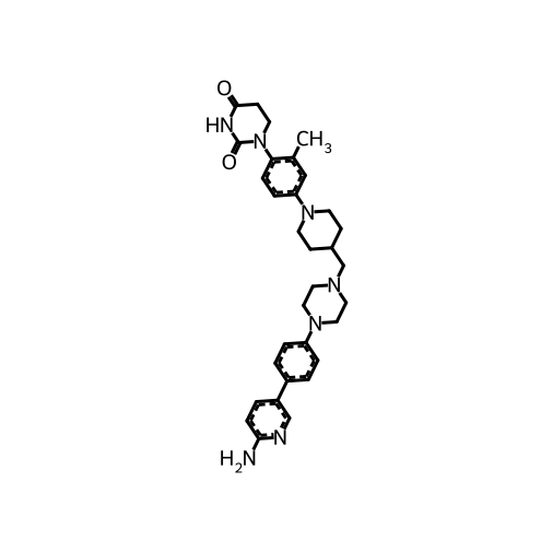 Cc1cc(N2CCC(CN3CCN(c4ccc(-c5ccc(N)nc5)cc4)CC3)CC2)ccc1N1CCC(=O)NC1=O